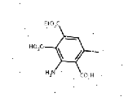 CCOC(=O)c1cc(C)c(C(=O)O)c(N)c1C(=O)O